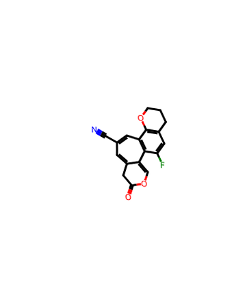 N#CC1=Cc2c3c(cc(F)c2C2=COC(=O)CC2=C1)CCCO3